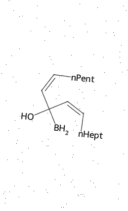 BC(O)(/C=C\CCCCC)/C=C\CCCCCCC